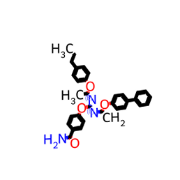 C=C(/N=C(\N=C(/C)Oc1ccc(CCC)cc1)Oc1ccc(C(N)=O)cc1)Oc1ccc(-c2ccccc2)cc1